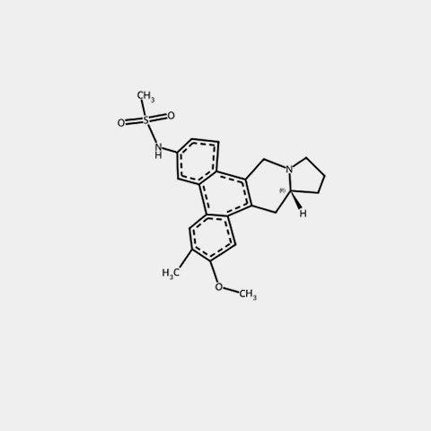 COc1cc2c3c(c4ccc(NS(C)(=O)=O)cc4c2cc1C)CN1CCC[C@@H]1C3